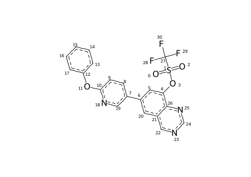 O=S(=O)(Oc1cc(-c2ccc(Oc3ccccc3)nc2)cc2cncnc12)C(F)(F)F